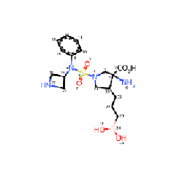 N[C@@]1(C(=O)O)CN(S(=O)(=O)N(c2ccccc2)C2CNC2)C[C@@H]1CCCB(O)O